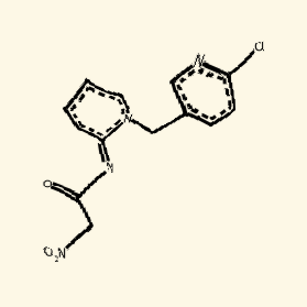 O=C(C[N+](=O)[O-])N=c1ccccn1Cc1ccc(Cl)nc1